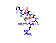 CCC(C)C(NC(=O)C1CCCN1)C(=O)NC(C(=O)NC(C)C(=O)NC(CC(C)C)C(=O)NC(CCCNC(=N)N)C(=O)NC(CCC(=O)O)C(=O)O)C(C)O